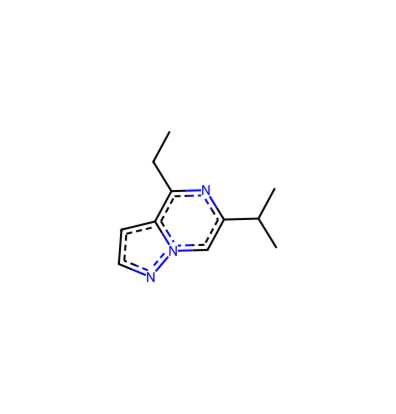 CCc1nc(C(C)C)cn2nccc12